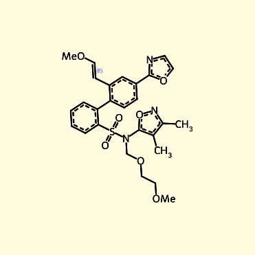 CO/C=C/c1cc(-c2ncco2)ccc1-c1ccccc1S(=O)(=O)N(COCCOC)c1onc(C)c1C